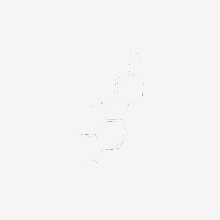 CC1(C)C2=C(C=CC(N)C2=O)c2ccc(N)cc21